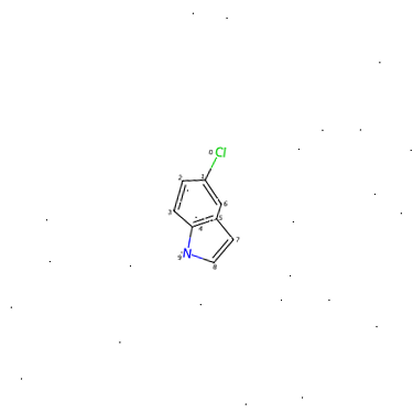 Clc1ccc2c(c1)C=C[N]2